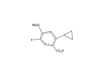 COc1cc(C2CC2)c(C(=O)O)cc1F